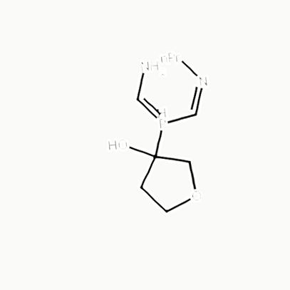 CCC/N=C\[PH](=C/N)C1(O)CCOC1